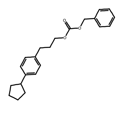 O=C(OCCCc1ccc(C2CCCC2)cc1)OCc1ccccc1